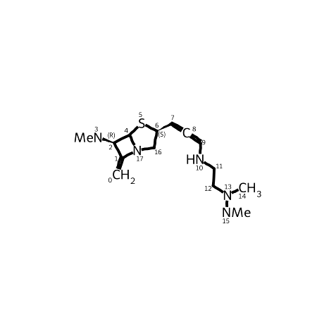 C=C1[C@@H](NC)C2S[C@@H](C=C=CNCCN(C)NC)CN12